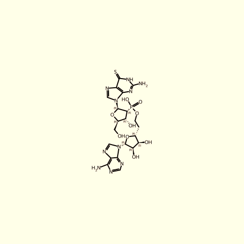 Nc1nc2c(ncn2[C@@H]2O[C@H](CO)[C@@H](O)[C@H]2P(=O)(O)OCC[C@H]2O[C@@H](n3cnc4c(N)ncnc43)[C@H](O)[C@@H]2O)c(=S)[nH]1